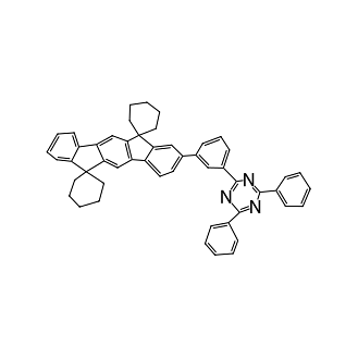 c1ccc(-c2nc(-c3ccccc3)nc(-c3cccc(-c4ccc5c(c4)C4(CCCCC4)c4cc6c(cc4-5)C4(CCCCC4)c4ccccc4-6)c3)n2)cc1